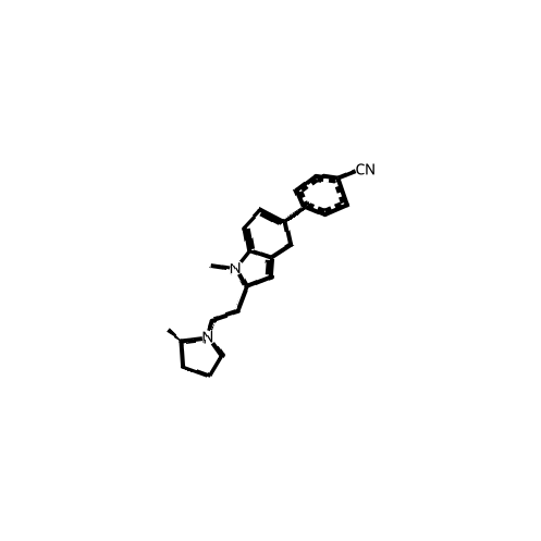 C[C@@H]1CCCN1CCC1C=C2CC(c3ccc(C#N)cc3)=CC=C2N1C